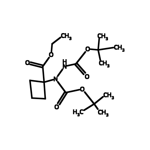 CCOC(=O)C1(N(NC(=O)OC(C)(C)C)C(=O)OC(C)(C)C)CCC1